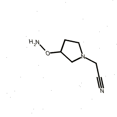 N#CCN1CCC(ON)C1